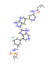 CCC(=O)Nc1cncc(-c2cnc3[nH]nc(-c4nc5c(-c6cc(F)cc(CNS(C)(=O)=O)c6)cncc5[nH]4)c3c2)c1